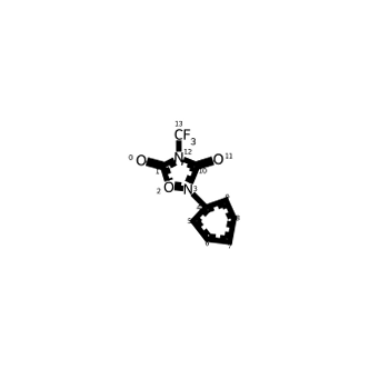 O=c1on(-c2ccccc2)c(=O)n1C(F)(F)F